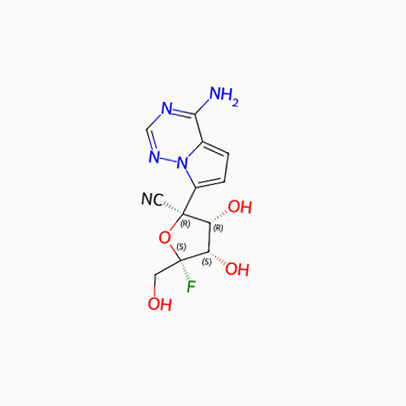 N#C[C@@]1(c2ccc3c(N)ncnn23)O[C@](F)(CO)[C@@H](O)[C@H]1O